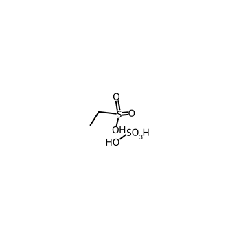 CCS(=O)(=O)O.O=S(=O)(O)O